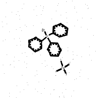 CC[P+](c1ccccc1)(c1ccccc1)c1ccccc1.[I][Fe-]([I])([I])[I]